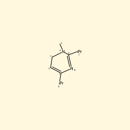 CC(C)C1=CCN(C)C(C(C)C)=N1